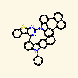 c1ccc(-n2c3cc4ccccc4cc3c3c(-c4nc(-n5c6cccc7c6c6c(cccc65)-c5cccc6cccc-7c56)nc5sc6ccccc6c45)cccc32)cc1